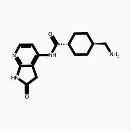 NC[C@H]1CC[C@H](C(=O)Nc2ccnc3c2CC(=O)N3)CC1